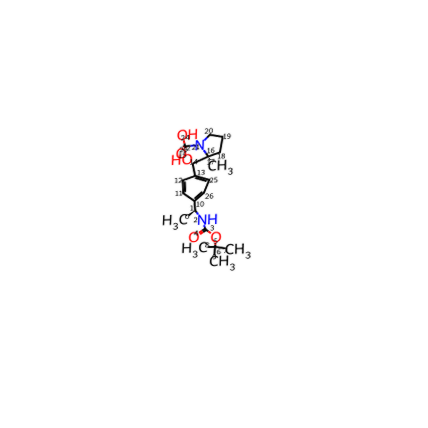 C[C@H](NC(=O)OC(C)(C)C)c1ccc(C(O)[C@]2(C)CCCN2C(=O)O)cc1